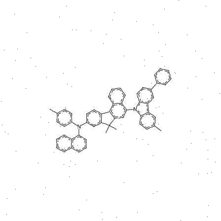 Cc1ccc(N(c2ccc3c(c2)C(C)(C)c2cc(-n4c5ccc(C)cc5c5cc(-c6ccccc6)ccc54)c4ccccc4c2-3)c2cccc3ccccc23)cc1